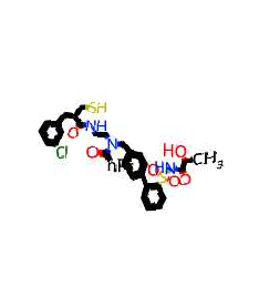 CCCC(=O)N(CCNC(=O)C(CS)Cc1cccc(Cl)c1)Cc1ccc(-c2ccccc2S(=O)(=O)NC(=O)C(C)O)cc1